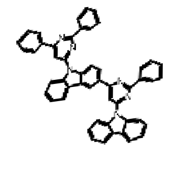 c1ccc(-c2cc(-n3c4ccccc4c4cc(-c5cc(-n6c7ccccc7c7ccccc76)nc(-c6ccccc6)n5)ccc43)nc(-c3ccccc3)n2)cc1